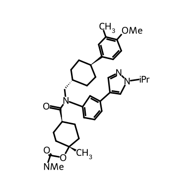 CNC(=O)O[C@]1(C)CC[C@@H](C(=O)N(C[C@H]2CC[C@H](c3ccc(OC)c(C)c3)CC2)c2cccc(-c3cnn(C(C)C)c3)c2)CC1